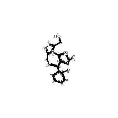 OCc1nnc2n1-c1sc(Cl)cc1C(c1ccccc1Cl)=NC2